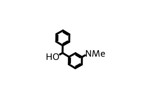 CNc1cccc(C(O)c2ccccc2)c1